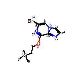 C[Si](C)(C)CCOc1nc(Br)cn2ccnc12